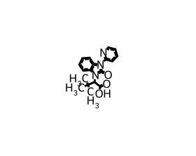 CC(C)(C)C(C(=O)O)n1c(=O)n(-c2ccccn2)c2ccccc21